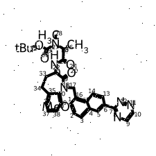 COc1ccc2cc(-c3nccnn3)ccc2c1CN1C(=O)[C@@H](NC(=O)[C@H](C)N(C)C(=O)OC(C)(C)C)CCc2ccccc21